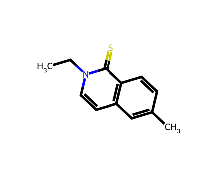 CCn1ccc2cc(C)ccc2c1=S